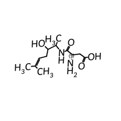 CC(C)=CCC(O)C(C)NC(=O)[C@@H](N)CC(=O)O